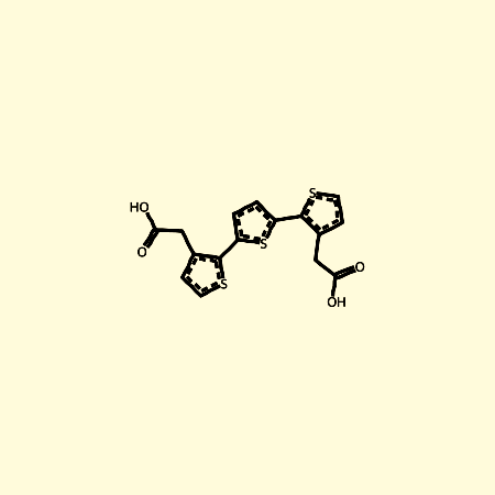 O=C(O)Cc1ccsc1-c1ccc(-c2sccc2CC(=O)O)s1